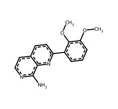 COc1cccc(-c2ccc3ccnc(N)c3n2)c1OC